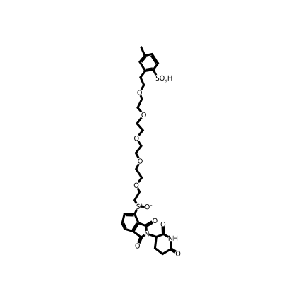 Cc1ccc(S(=O)(=O)O)c(CCOCCOCCOCCOCCOCC[S+]([O-])c2cccc3c2C(=O)N(C2CCC(=O)NC2=O)C3=O)c1